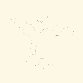 CC1CNC2CN(c3c(F)cc4c(=O)c(OC(=O)O)cn(C5CC5)c4c3F)CC2C1.CC1CNC2CNCC2C1